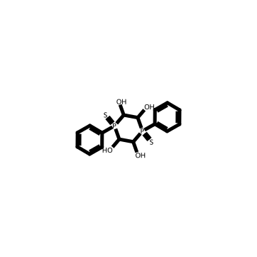 OC1C(O)P(=S)(c2ccccc2)C(O)C(O)P1(=S)c1ccccc1